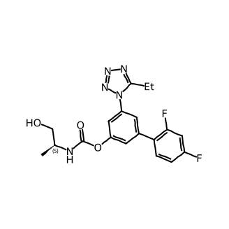 CCc1nnnn1-c1cc(OC(=O)N[C@@H](C)CO)cc(-c2ccc(F)cc2F)c1